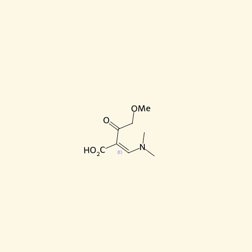 COCC(=O)/C(=C\N(C)C)C(=O)O